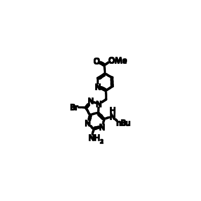 CCCCNc1nc(N)nc2c(Br)nn(Cc3ccc(C(=O)OC)cn3)c12